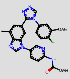 COC(=O)Nc1ccc(-n2cnc3c(C)cc(-c4nncn4-c4ccc(F)c(OC)c4)cc32)cn1